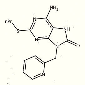 CCCSc1nc(N)c2[nH]c(=O)n(Cc3ccccn3)c2n1